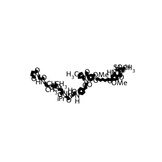 COc1cc2c(cc1OCCCCCOc1cc3c(cc1OC)C(=O)N1C=C(C)CC1CN3C(=O)OCc1ccc(NC(=O)CNC(=O)C(NC(=O)CCOC(C)(C)COC(C)(C)CCNC(=O)CCN3C(=O)C=CC3=O)C(C)C)cc1)NC(S(=O)(=O)O)[C@@H]1CC(C)=CN1C2=O